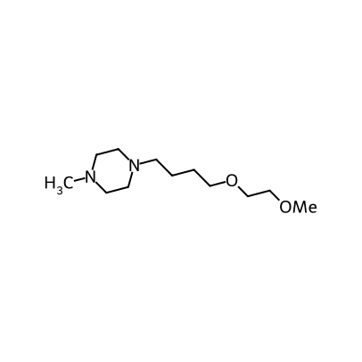 COCCOCCCCN1CCN(C)CC1